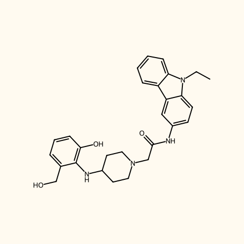 CCn1c2ccccc2c2cc(NC(=O)CN3CCC(Nc4c(O)cccc4CO)CC3)ccc21